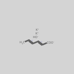 C/C=C/C=C/C(=O)[O-].[K+].[K+].[OH-]